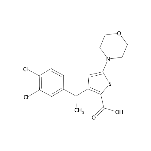 CC(c1ccc(Cl)c(Cl)c1)c1cc(N2CCOCC2)sc1C(=O)O